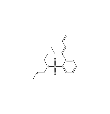 C=C/C=C(\CC)c1ccccc1S(=O)(=O)N(COC)C(C)C